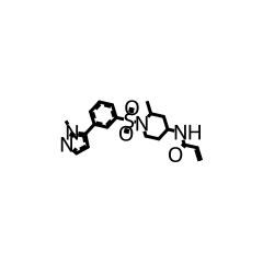 C=CC(=O)NC1CCN(S(=O)(=O)c2cccc(-c3ccnn3C)c2)C(C)C1